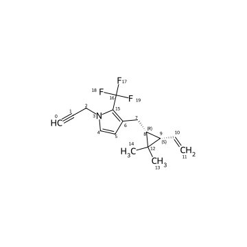 C#CCn1ccc(C[C@@H]2[C@H](C=C)C2(C)C)c1C(F)(F)F